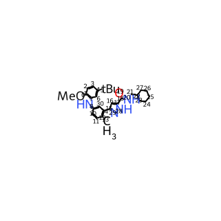 COc1ccc(C(C)(C)C)cc1Nc1ccc(C)c(-c2cc(C(=O)NCC3CCCCC3)[nH]n2)c1